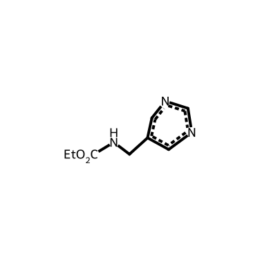 CCOC(=O)NCc1cncnc1